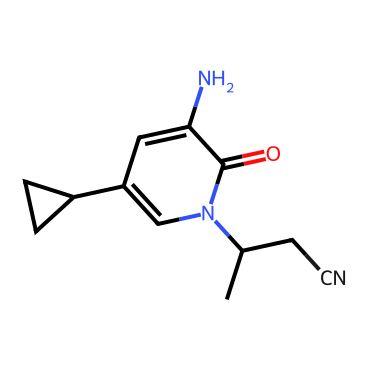 CC(CC#N)n1cc(C2CC2)cc(N)c1=O